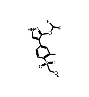 COCS(=O)(=O)c1ccc(-c2c[nH]nc2OC(F)F)cc1C